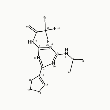 C=C(Nc1nc(NC(C)C)nc(C2=CCCC2)n1)C(F)(F)F